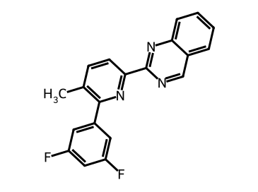 Cc1ccc(-c2ncc3ccccc3n2)nc1-c1cc(F)cc(F)c1